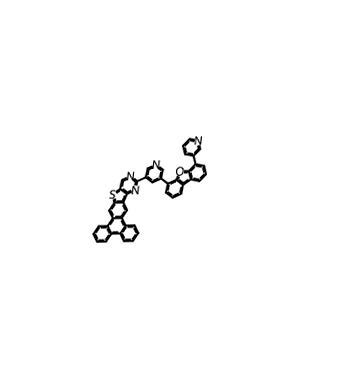 c1cncc(-c2cccc3c2oc2c(-c4cncc(-c5ncc6sc7cc8c9ccccc9c9ccccc9c8cc7c6n5)c4)cccc23)c1